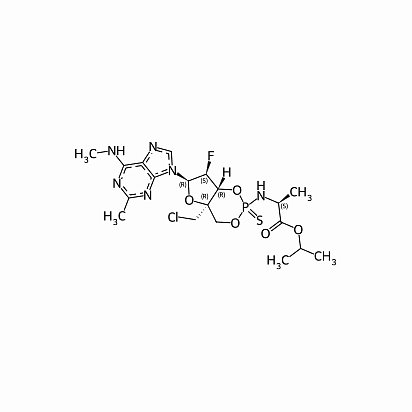 CNc1nc(C)nc2c1ncn2[C@@H]1O[C@]2(CCl)COP(=S)(N[C@@H](C)C(=O)OC(C)C)O[C@H]2[C@@H]1F